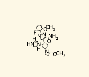 COC[C@@H]1CCN1c1ccc(-c2cnc(-c3c(F)cccc3OC)nc2C(N)=O)c(N2C[C@@H]3C[C@H]2CN3)c1